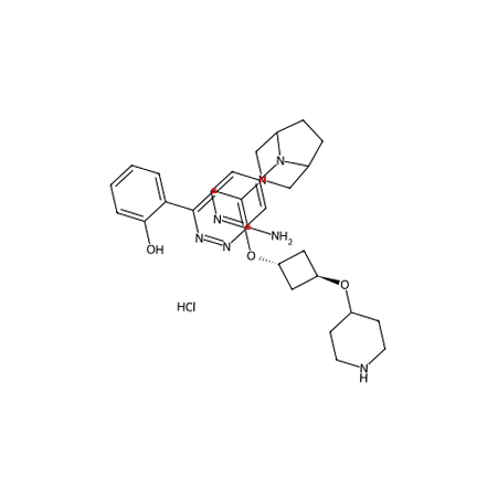 Cl.Nc1nnc(-c2ccccc2O)cc1N1CC2CCC(C1)N2c1ccnc(O[C@H]2C[C@H](OC3CCNCC3)C2)c1